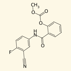 COC(=O)Oc1ccccc1C(=O)Nc1ccc(F)c(C#N)c1